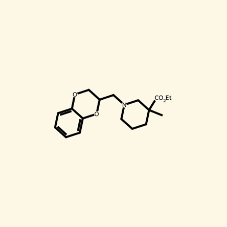 CCOC(=O)C1(C)CCCN(CC2COc3ccccc3O2)C1